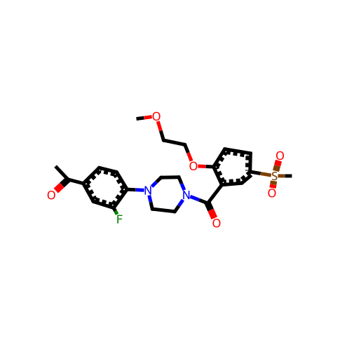 COCCOc1ccc(S(C)(=O)=O)cc1C(=O)N1CCN(c2ccc(C(C)=O)cc2F)CC1